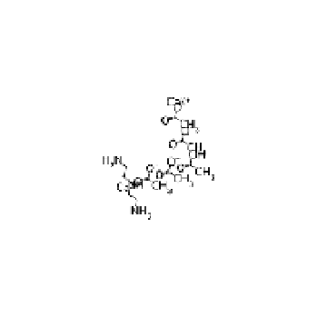 CC(=O)O.CC(=O)[O-].CC(=O)[O-].CC(=O)[O-].CC(=O)[O-].NCCNCCN.[Ca+2].[Ca+2]